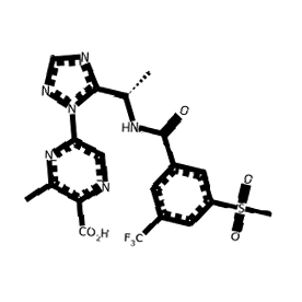 Cc1nc(-n2ncnc2[C@H](C)NC(=O)c2cc(C(F)(F)F)cc(S(C)(=O)=O)c2)cnc1C(=O)O